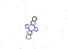 C1=Cc2nc3c(cc2CC1)n1ccnc1c1nc2ccccc2cc1n1ccnc31